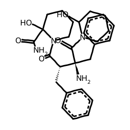 NC(=O)C1(O)CCCCN1C(=O)[C@@H](Cc1ccccc1)[C@@](N)(Cc1ccccc1)C(=O)N1CCCCC1O